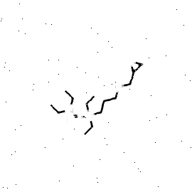 CC[SiH](CC)O[Si](CC)(CC)CCCOCC1CO1